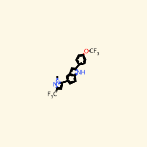 Cn1nc(C(F)(F)F)cc1-c1ccc2[nH]c(-c3ccc(OC(F)(F)F)cc3)cc2c1